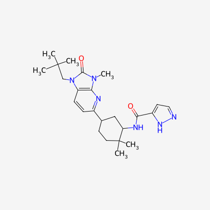 Cn1c(=O)n(CC(C)(C)C)c2ccc(C3CCC(C)(C)C(NC(=O)c4ccn[nH]4)C3)nc21